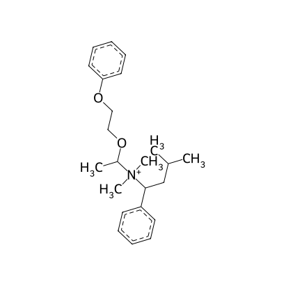 CC(C)CC(c1ccccc1)[N+](C)(C)C(C)OCCOc1ccccc1